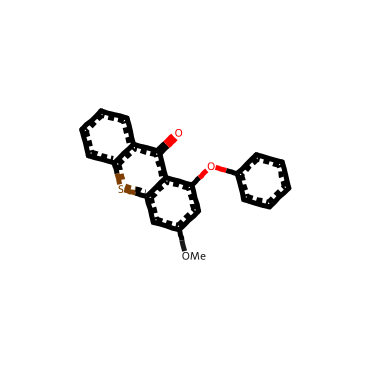 COc1cc(Oc2ccccc2)c2c(=O)c3ccccc3sc2c1